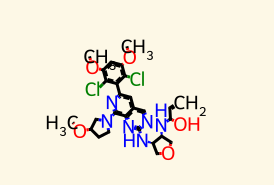 C=CC(O)N[C@H]1COC[C@H]1Nc1ncc2cc(-c3c(Cl)c(OC)cc(OC)c3Cl)nc(N3CCC(OC)C3)c2n1